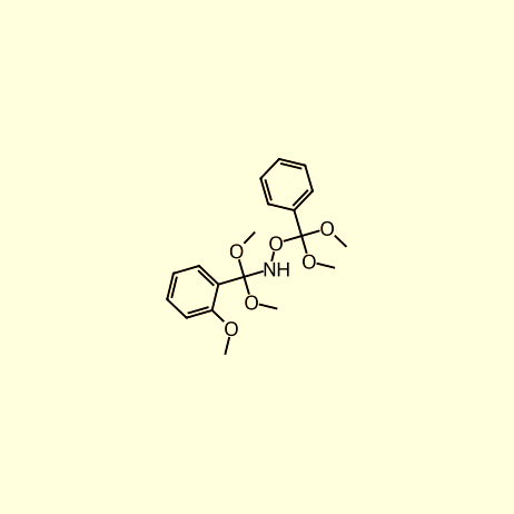 COc1ccccc1C(NOC(OC)(OC)c1ccccc1)(OC)OC